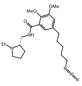 CCN1CCC[C@H]1CNC(=O)c1cc(CCCCCN=[N+]=[N-])cc(OC)c1OC